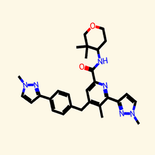 Cc1c(Cc2ccc(-c3ccn(C)n3)cc2)cc(C(=O)NC2CCOCC2(C)C)nc1-c1ccn(C)n1